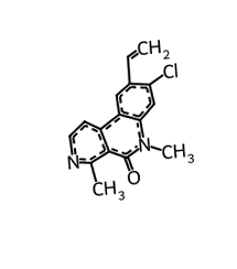 C=Cc1cc2c3ccnc(C)c3c(=O)n(C)c2cc1Cl